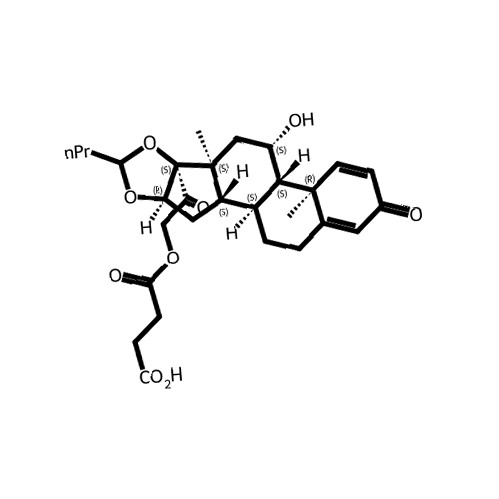 CCCC1O[C@@H]2C[C@H]3[C@@H]4CCC5=CC(=O)C=C[C@]5(C)[C@H]4[C@@H](O)C[C@]3(C)[C@]2(C(=O)COC(=O)CCC(=O)O)O1